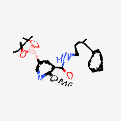 COc1ncc(B2OC(C)(C)C(C)(C)O2)cc1C(=O)NCCC(C)c1ccccc1